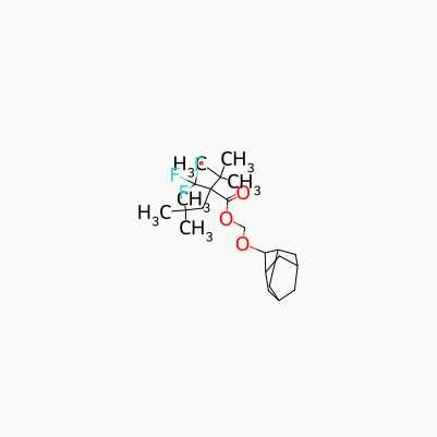 CC(C)(C)CC(C(=O)OCOC1C2CC3CC(C2)CC1C3)(C(C)(C)C)C(F)(F)F